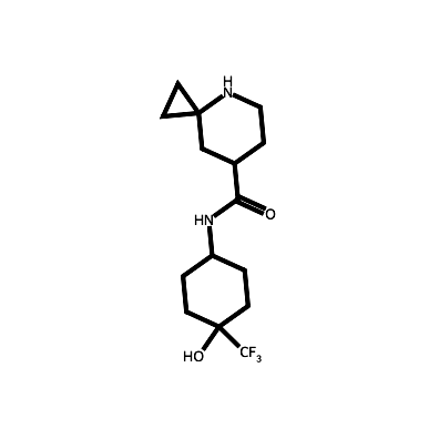 O=C(NC1CCC(O)(C(F)(F)F)CC1)C1CCNC2(CC2)C1